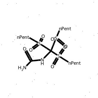 CCCCCS(=O)(=O)C(NC(N)=O)(S(=O)(=O)CCCCC)S(=O)(=O)CCCCC